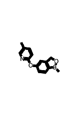 CB1OCc2cc(Oc3ccc(C)cn3)ccc21